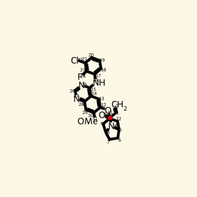 C=CC(=O)N1C2CCC1CC(Oc1cc3c(Nc4cccc(Cl)c4F)ncnc3cc1OC)C2